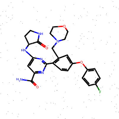 NC(=O)c1cc(NC2CCNC2=O)nc(-c2ccc(Oc3ccc(F)cc3)cc2CN2CCOCC2)n1